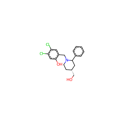 OC[C@@H]1CCN(Cc2cc(Cl)c(Cl)cc2O)C(c2ccccc2)C1